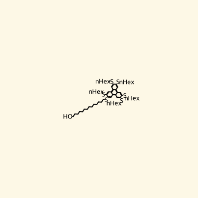 CCCCCCSc1cc2c3cc(SCCCCCC)c(SCCCCCC)cc3c3cc(SCCCCCCCCCCCCCCO)c(SCCCCCC)cc3c2cc1SCCCCCC